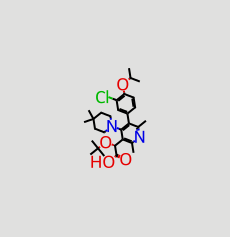 Cc1nc(C)c([C@H](OC(C)(C)C)C(=O)O)c(N2CCC(C)(C)CC2)c1-c1ccc(OC(C)C)c(Cl)c1